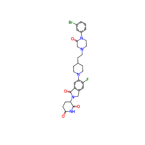 O=C1CCC(N2Cc3cc(F)c(N4CCC(CCN5CCN(c6cccc(Br)c6)C(=O)C5)CC4)cc3C2=O)C(=O)N1